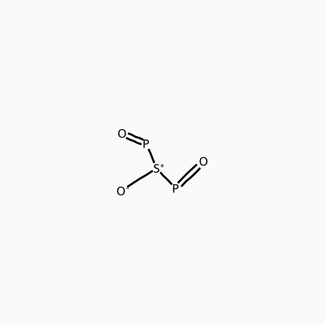 O=P[S+]([O-])P=O